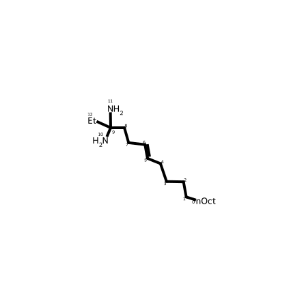 CCCCCCCCCCCCC=CCCC(N)(N)CC